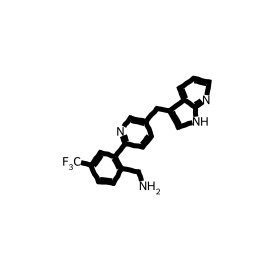 NCc1ccc(C(F)(F)F)cc1-c1ccc(Cc2c[nH]c3ncccc23)cn1